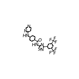 O=C(Nc1nc(-c2cc(C(F)(F)F)cc(C(F)(F)F)c2)ns1)c1ccc(Nc2ccncn2)cc1